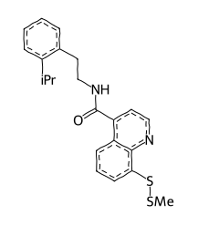 CSSc1cccc2c(C(=O)NCCc3ccccc3C(C)C)ccnc12